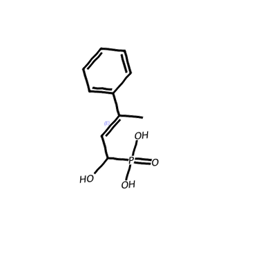 C/C(=C\C(O)P(=O)(O)O)c1ccccc1